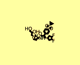 O=C(Nc1ccn(C[C@H](O)CO)n1)/C(=C/[C@H]1C[C@@H](F)[C@@H](F)C1)c1ccc(S(=O)(=O)C2CC2)cc1